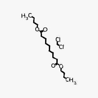 CCCCOC(=O)CCCCCCCCC(=O)OCCCC.ClCCl